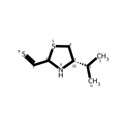 CC(C)[C@H]1CSC(C=S)N1